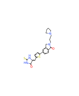 O=C1NC(=S)N/C1=C\c1ccc(-c2ccc3c(c2)CN(CCCN2CCCC2)C3=O)s1